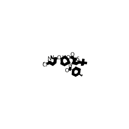 CC(C)(C)c1cc(N(C(=O)[C@H]2CC[C@H](C)CC2)[C@H]2CC[C@@H](Oc3ccc(Cl)nn3)CC2)c(C(=O)O)s1